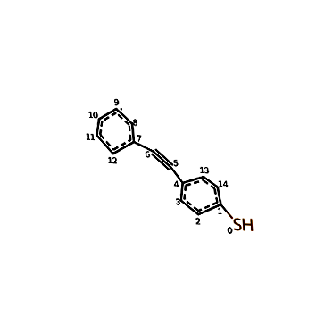 Sc1ccc(C#Cc2c[c]ccc2)cc1